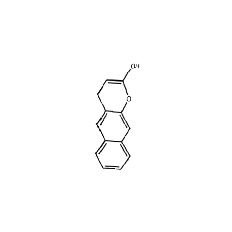 OC1=CCc2cc3ccccc3cc2O1